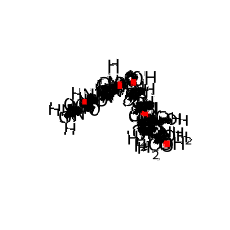 CC(C)(O)[C@H]1CC[C@@](C)(O)CC1.Cn1c(=O)c2[nH]cnc2n(C)c1=O.Cn1c(=O)c2[nH]cnc2n(C)c1=O.Cn1c(=O)c2[nH]cnc2n(C)c1=O.Cn1c(=O)c2c(ncn2C)n(C)c1=O.Cn1c(=O)c2c(ncn2CC(O)CO)n(C)c1=O.NCCN.O.O=c1[nH]c(=O)c2[nH]cnc2[nH]1.OCC(O)CO